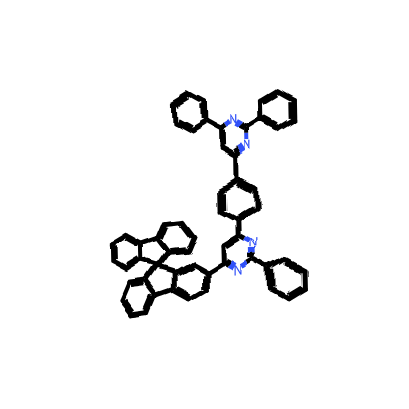 c1ccc(-c2cc(-c3ccc(-c4cc(-c5ccc6c(c5)C5(c7ccccc7-c7ccccc75)c5ccccc5-6)nc(-c5ccccc5)n4)cc3)nc(-c3ccccc3)n2)cc1